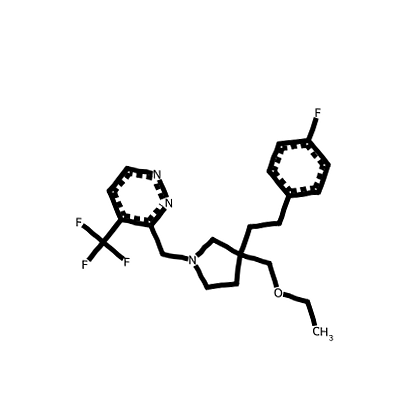 CCOCC1(CCc2ccc(F)cc2)CCN(Cc2nnccc2C(F)(F)F)C1